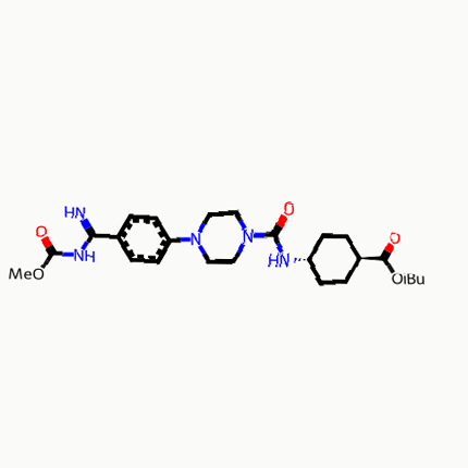 COC(=O)NC(=N)c1ccc(N2CCN(C(=O)N[C@H]3CC[C@H](C(=O)OCC(C)C)CC3)CC2)cc1